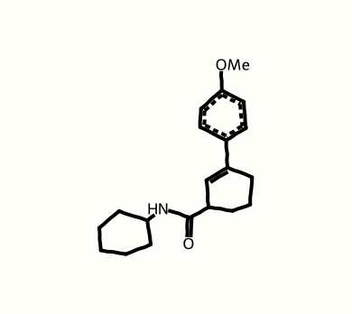 COc1ccc(C2=CC(C(=O)NC3CCCCC3)CCC2)cc1